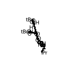 CC(C)CCCC(C)[C@H]1CC[C@H]2[C@@H]3CC=C4C[C@@H](OC(=O)CCCC(=O)N(CCCCCCCCNC(=O)OC(C)(C)C)CCCNC(=O)OC(C)(C)C)CC[C@]4(C)[C@H]3CC[C@]12C